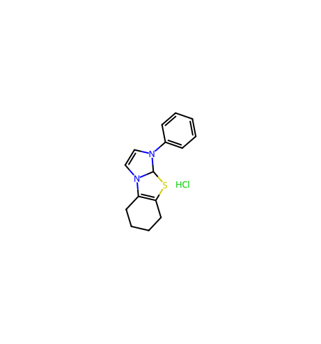 C1=CN(c2ccccc2)C2SC3=C(CCCC3)N12.Cl